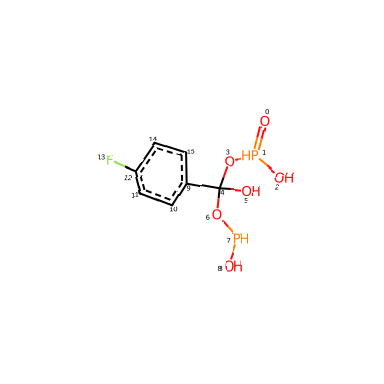 O=[PH](O)OC(O)(OPO)c1ccc(F)cc1